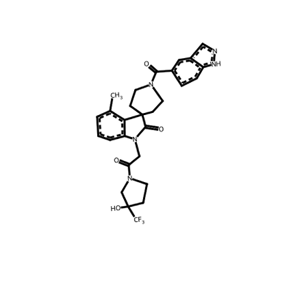 Cc1cccc2c1C1(CCN(C(=O)c3ccc4[nH]ncc4c3)CC1)C(=O)N2CC(=O)N1CCC(O)(C(F)(F)F)C1